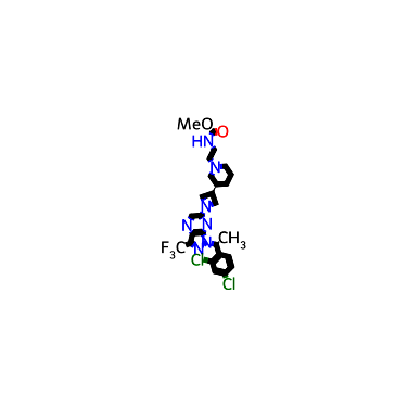 COC(=O)NCCN1CCC[C@H](C2CN(c3cnc4c(C(F)(F)F)nn([C@H](C)c5ccc(Cl)cc5Cl)c4n3)C2)C1